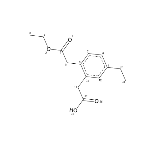 CCOC(=O)Cc1ccc(CC)cc1CC(=O)O